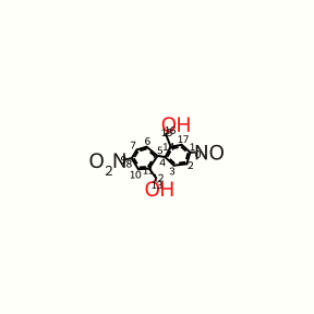 O=Nc1ccc(-c2ccc([N+](=O)[O-])cc2CO)c(CO)c1